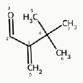 C=C([C]=O)C(C)(C)C